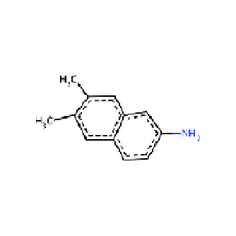 Cc1cc2ccc(N)cc2cc1C